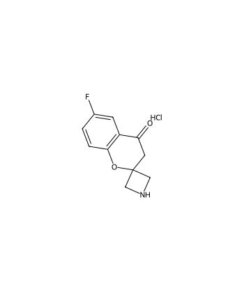 Cl.O=C1CC2(CNC2)Oc2ccc(F)cc21